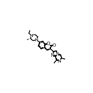 CCN1CCN(c2ccc3cc(-c4cn5cc(C)nc(C)c5n4)c(=O)oc3c2)C[C@H]1C